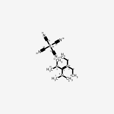 CC[N+](CC)=C(N(C)C)N(C)C.N#C[B-](C#N)(C#N)C#N